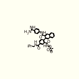 CC(C)CNC(=O)c1ccc(-c2cc3ccccc3cc2C(=O)Nc2ccc(C(=N)N)cc2)c(C(=O)NOS(C)(=O)=O)c1